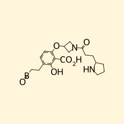 O=BCCc1ccc(OC2CN(C(=O)CCC3CCCN3)C2)c(C(=O)O)c1O